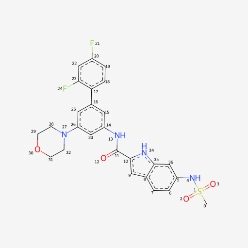 CS(=O)(=O)Nc1ccc2cc(C(=O)Nc3cc(-c4ccc(F)cc4F)cc(N4CCOCC4)c3)[nH]c2c1